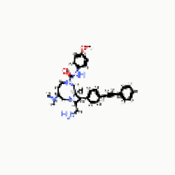 COc1ccc(NC(=O)N2CC[C@H](N(C)C)CN3[C@H](CN)[C@H](c4ccc(C#Cc5ccccc5)cc4)[C@@H]3C2)cc1